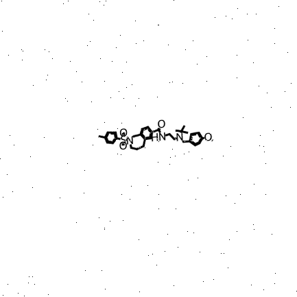 COc1ccc(CN(CCNC(=O)c2ccc3c(c2)CCCN(S(=O)(=O)c2ccc(C)cc2)C3)C(C)(C)C)cc1